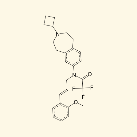 COc1ccccc1/C=C/CN(C(=O)C(F)(F)F)c1ccc2c(c1)CCN(C1CCC1)CC2